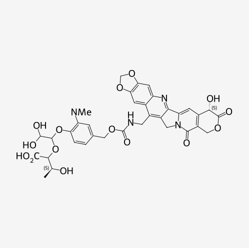 CNc1cc(COC(=O)NCc2c3c(nc4cc5c(cc24)OCO5)-c2cc4c(c(=O)n2C3)COC(=O)[C@H]4O)ccc1OC(OC(C(=O)O)[C@H](C)O)C(O)O